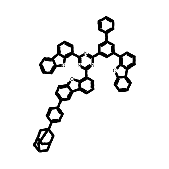 c1ccc(-c2cc(-c3nc(-c4cccc5c4oc4ccccc45)nc(-c4cccc5c4oc4ccc(-c6ccc(C78CC9CC(CC(C9)C7)C8)cc6)cc45)n3)cc(-c3cccc4c3oc3ccccc34)c2)cc1